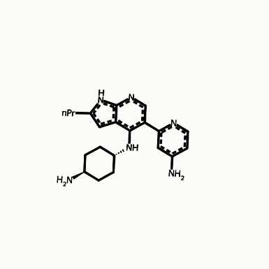 CCCc1cc2c(N[C@H]3CC[C@H](N)CC3)c(-c3cc(N)ccn3)cnc2[nH]1